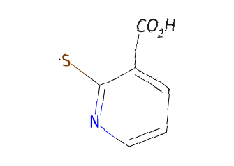 O=C(O)c1cccnc1[S]